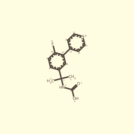 CC(C)(NC(=O)O)c1ccc(F)c(-c2ccncc2)c1